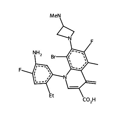 C=C1C(C(=O)O)=CN(c2cc(N)c(F)cc2CC)c2c(Br)c(N3CC(NC)C3)c(F)c(C)c21